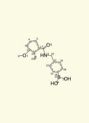 COc1cccc(C(=O)NCc2ccc(B(O)O)cc2)c1F